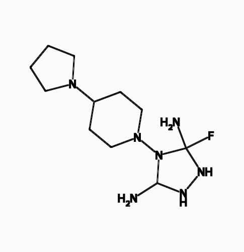 NC1NNC(N)(F)N1N1CCC(N2CCCC2)CC1